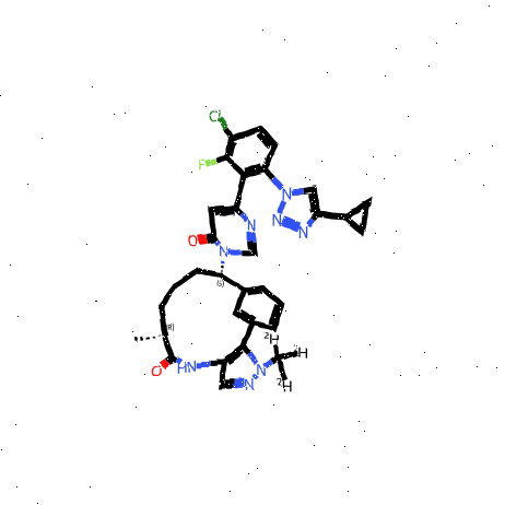 [2H]C([2H])([2H])n1ncc2c1-c1cccc(c1)[C@@H](n1cnc(-c3c(-n4cc(C5CC5)nn4)ccc(Cl)c3F)cc1=O)CCC[C@@H](C)C(=O)N2